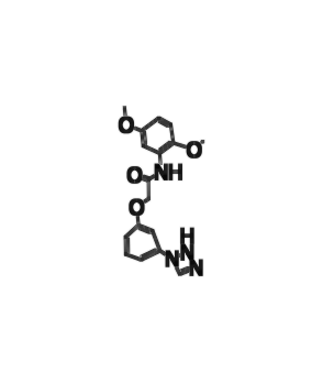 COc1ccc(OC)c(NC(=O)COc2cccc(-n3cn[nH]3)c2)c1